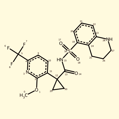 COc1nc(C(F)(F)F)ccc1C1(C(=O)NS(=O)(=O)c2cccc3c2CCCN3)CC1